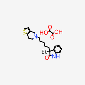 CCC1(CCCCCN2CCc3sccc3C2)C(=O)Nc2ccccc21.O=C(O)C(=O)O